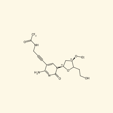 CCO[C@@H]1C[C@H](n2cc(C#CCNC(=O)C(F)(F)F)c(N)nc2=O)OC1CCO